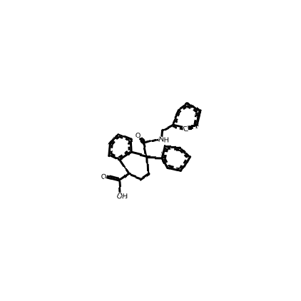 O=C(O)C1CCC(C(=O)NCc2ccccc2)(c2ccccc2)c2ccccc21